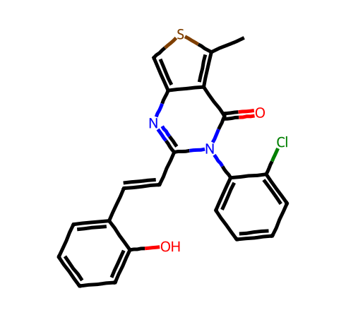 Cc1scc2nc(C=Cc3ccccc3O)n(-c3ccccc3Cl)c(=O)c12